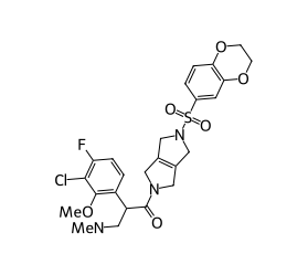 CNCC(C(=O)N1CC2=C(C1)CN(S(=O)(=O)c1ccc3c(c1)OCCO3)C2)c1ccc(F)c(Cl)c1OC